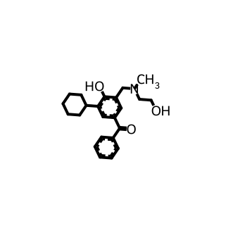 CN(CCO)Cc1cc(C(=O)c2ccccc2)cc(C2CCCCC2)c1O